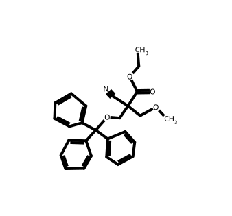 CCOC(=O)C(C#N)(COC)COC(c1ccccc1)(c1ccccc1)c1ccccc1